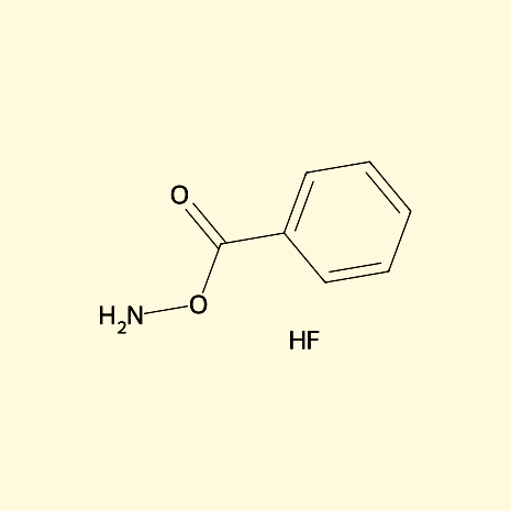 F.NOC(=O)c1ccccc1